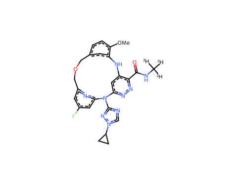 [2H]C([2H])([2H])NC(=O)c1nnc2cc1Nc1cc(ccc1OC)COCc1cc(F)cc(n1)N2c1ncn(C2CC2)n1